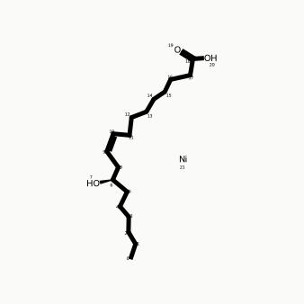 CCCCCC[C@@H](O)C/C=C\CCCCCCCC(=O)O.[Ni]